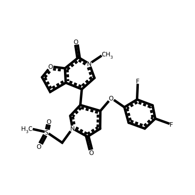 Cn1cc(-c2cn(CS(C)(=O)=O)c(=O)cc2Oc2ccc(F)cc2F)c2ccoc2c1=O